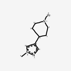 CC(C)N1CCC(c2cnn(C)c2)CC1